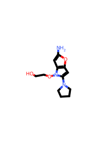 Nc1cc2c(cc(N3CCCC3)n2OCCO)o1